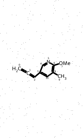 C=C=Cc1cnc(OC)c(C)c1